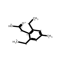 CCc1cc(C)cc(CC)c1CC(=O)O